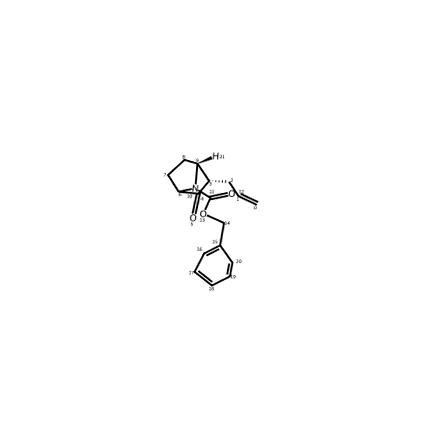 C=CC[C@@H]1C(=O)C2CC[C@H]1N2C(=O)OCc1ccccc1